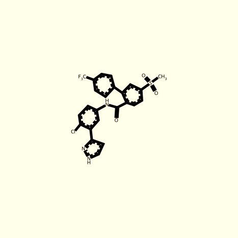 CS(=O)(=O)c1ccc(C(=O)Nc2ccc(Cl)c(-c3cc[nH]n3)c2)c(-c2ccc(C(F)(F)F)cc2)c1